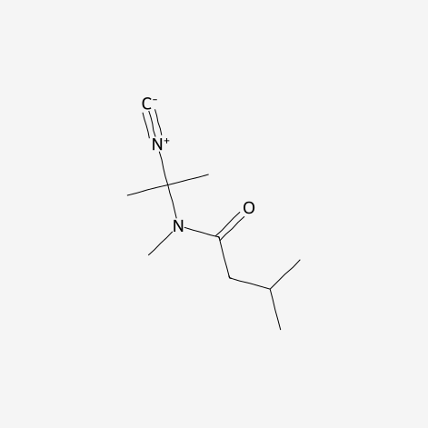 [C-]#[N+]C(C)(C)N(C)C(=O)CC(C)C